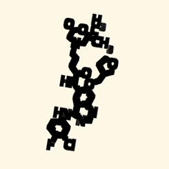 CC1(C)CN(CC=CC(=O)Nc2cc3c(Nc4ccc(F)c(Cl)c4)ncnc3cc2OCC2CCOC2)CC(=O)O1